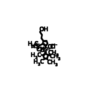 CC1=C(C)C(C)(C)[C]([Zr+2][C]2=C([SiH](C)C)C(CCCO)=CC2)=C1C.[Cl-].[Cl-]